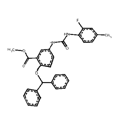 COC(=O)c1cc(NC(=O)Nc2ccc(C)cc2F)ccc1OC(c1ccccc1)c1ccccc1